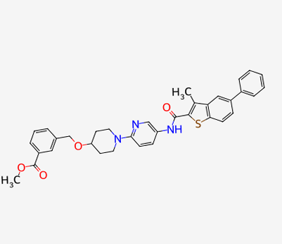 COC(=O)c1cccc(COC2CCN(c3ccc(NC(=O)c4sc5ccc(-c6ccccc6)cc5c4C)cn3)CC2)c1